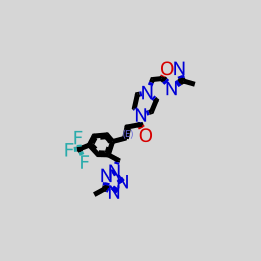 Cc1noc(CN2CCN(C(=O)/C=C/c3ccc(C(F)(F)F)cc3Cn3nnc(C)n3)CC2)n1